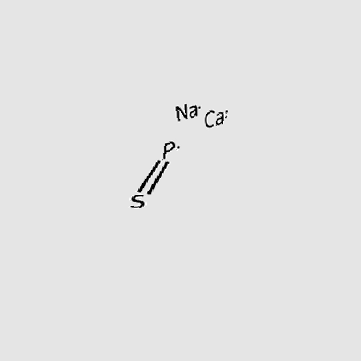 [Ca].[Na].[P]=S